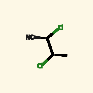 C[C@H](Cl)[C@@H](Cl)C#N